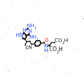 N#CCC(CCc1ccc(C(=O)N[C@@H](CCC(=O)O)C(=O)O)cc1)c1c[nH]c2nc(N)nc(N)c12